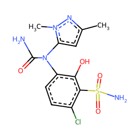 Cc1cc(N(C(N)=O)c2ccc(Cl)c(S(N)(=O)=O)c2O)n(C)n1